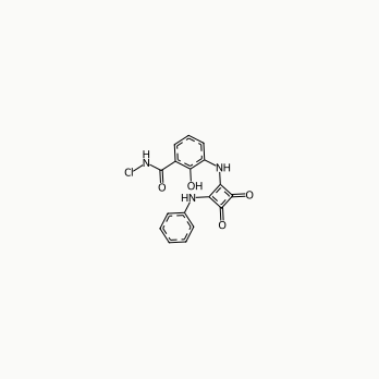 O=C(NCl)c1cccc(Nc2c(Nc3ccccc3)c(=O)c2=O)c1O